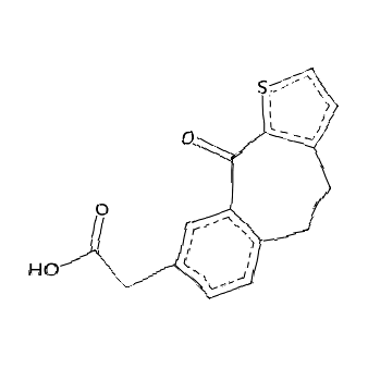 O=C(O)Cc1ccc2c(c1)C(=O)c1sccc1CC2